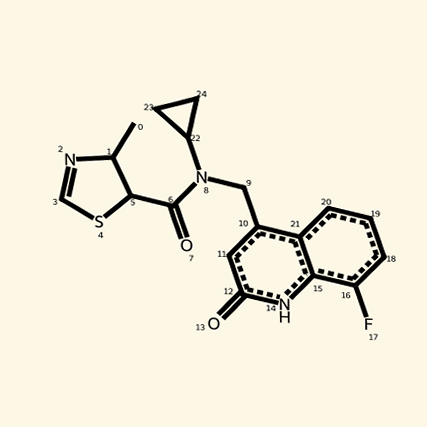 CC1N=CSC1C(=O)N(Cc1cc(=O)[nH]c2c(F)cccc12)C1CC1